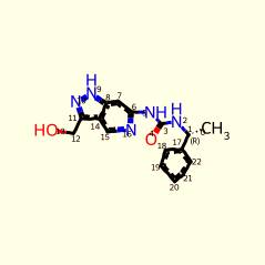 C[C@@H](NC(=O)Nc1cc2[nH]nc(CO)c2cn1)c1ccccc1